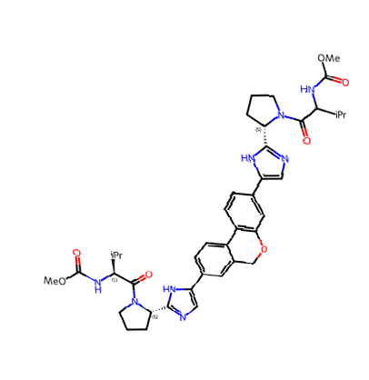 COC(=O)NC(C(=O)N1CCC[C@H]1c1ncc(-c2ccc3c(c2)OCc2cc(-c4cnc([C@@H]5CCCN5C(=O)[C@@H](NC(=O)OC)C(C)C)[nH]4)ccc2-3)[nH]1)C(C)C